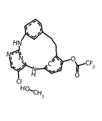 CO.O=C(Oc1ccc2cc1CCc1cccc(c1)Nc1ncc(Cl)c(n1)N2)C(F)(F)F